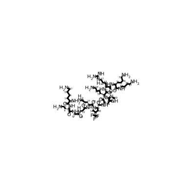 C[C@H](NC(=O)[C@H](CCN)NC(=O)[C@@H](N)CCCCN)C(=O)NCC(=O)N[C@H](CCCN)C(=O)N1C[C@@H](C(F)(F)F)C[C@H]1C(=O)N[C@@H](Cc1cnc[nH]1)C(=O)N[C@@H](CCCCN)C(=O)N/C(=C\CCNC(=N)N)C(=O)N[C@@H](CCCCN)C(=O)NCCCCN